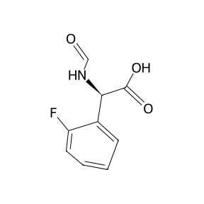 O=CN[C@@H](C(=O)O)c1ccccc1F